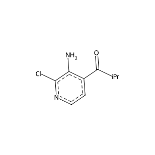 CC(C)C(=O)c1ccnc(Cl)c1N